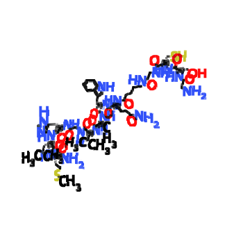 CSCC[C@H](NC(=O)[C@H](CC(C)C)NC(=O)[C@H](Cc1cnc[nH]1)NC(=O)CNC(=O)[C@@H](NC(=O)[C@H](C)NC(=O)[C@H](Cc1c[nH]c2ccccc12)NC(=O)[C@H](CCC(N)=O)NC(=O)CCCCNC(=O)CNC(=O)[C@H](CS)NC(=O)[C@H](CO)NC(=O)CN)C(C)C)C(N)=O